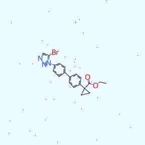 CCOC(=O)C1(c2ccc(-c3ccc(-n4nncc4Br)cc3)cc2)CC1